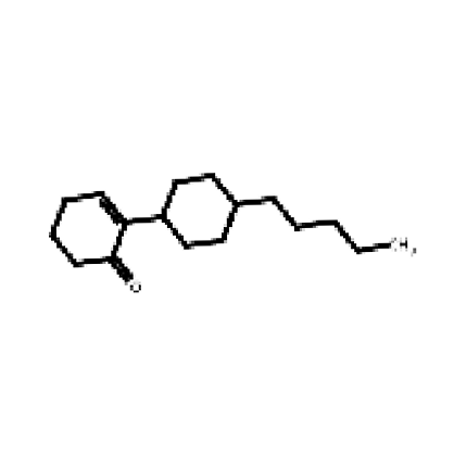 CCCCCC1CCC(C2=CCCCC2=O)CC1